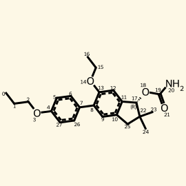 CCCOc1ccc(-c2cc3c(cc2OCC)[C@H](OC(N)=O)C(C)(C)C3)cc1